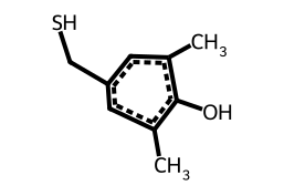 Cc1cc(CS)cc(C)c1O